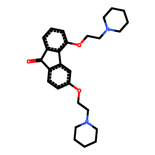 O=C1c2ccc(OCCN3CCCCC3)cc2-c2c(OCCN3CCCCC3)cccc21